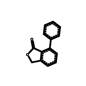 O=C1OCc2cccc(-c3ccccc3)c21